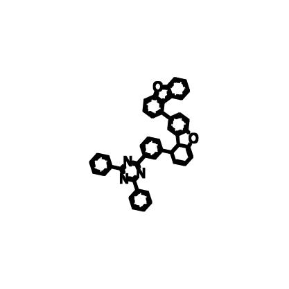 C1=CC(c2cccc(-c3nc(-c4ccccc4)nc(-c4ccccc4)n3)c2)C2C(=C1)Oc1ccc(-c3cccc4oc5ccccc5c34)cc12